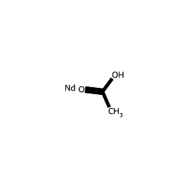 CC(=O)O.[Nd]